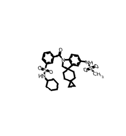 CS(=O)(=O)Nc1ccc2c(c1)C1(CCC3(CC3)CC1)CN2C(=O)c1cccc(S(=O)(=O)NC2CCCCC2)c1